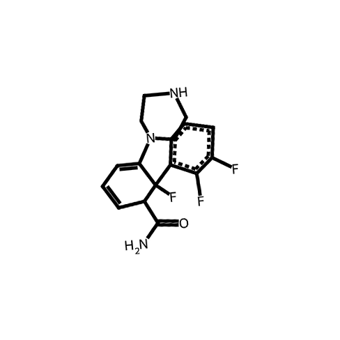 NC(=O)C1C=CC=C(N2CCNCC2)C1(F)c1cccc(F)c1F